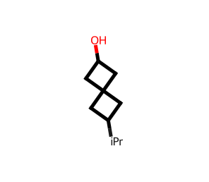 CC(C)C1CC2(CC(O)C2)C1